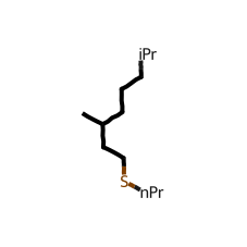 CCCSCCC(C)CCCC(C)C